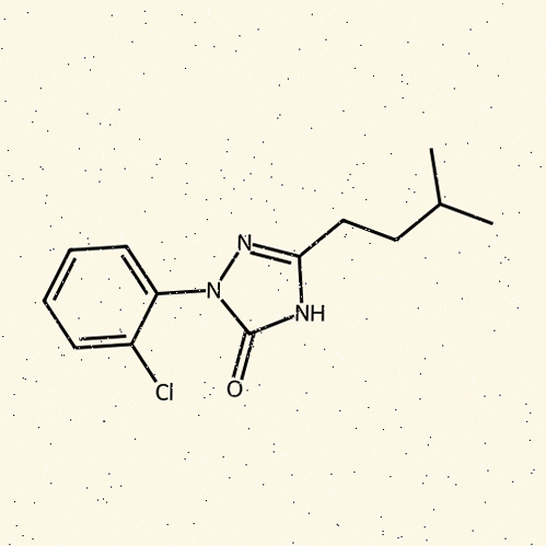 CC(C)CCc1nn(-c2ccccc2Cl)c(=O)[nH]1